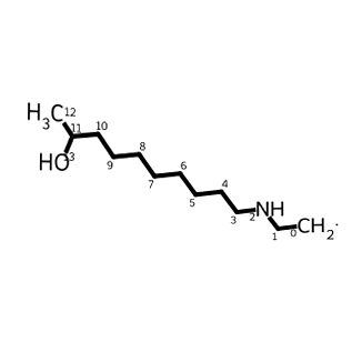 [CH2]CNCCCCCCCCC(C)O